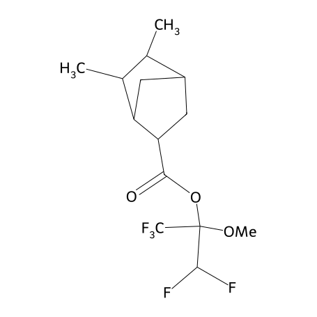 COC(OC(=O)C1CC2CC1C(C)C2C)(C(F)F)C(F)(F)F